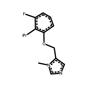 CC(C)c1c(F)cccc1OCc1cncn1C